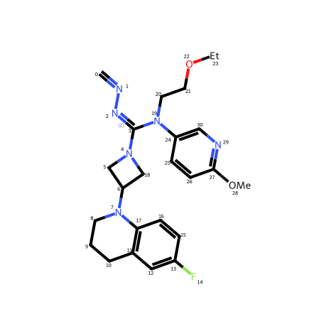 C=N/N=C(/N1CC(N2CCCc3cc(F)ccc32)C1)N(CCOCC)c1ccc(OC)nc1